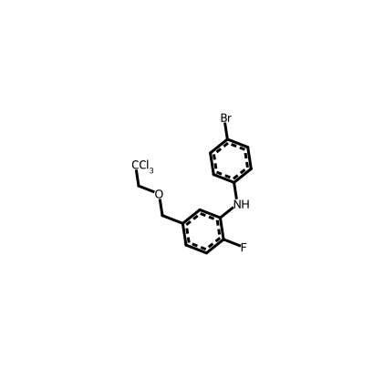 Fc1ccc(COCC(Cl)(Cl)Cl)cc1Nc1ccc(Br)cc1